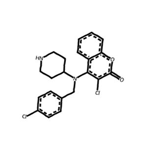 O=c1oc2ccccc2c(N(Cc2ccc(Cl)cc2)C2CCNCC2)c1Cl